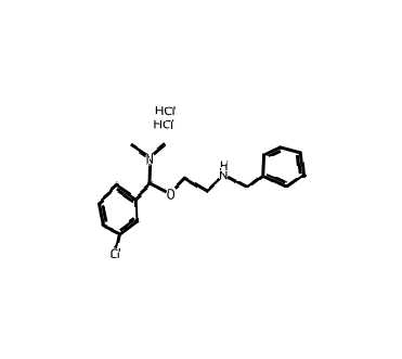 CN(C)C(OCCNCc1ccccc1)c1cccc(Cl)c1.Cl.Cl